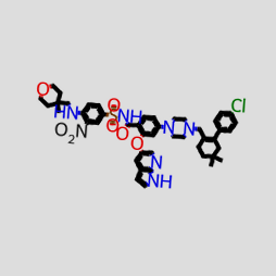 CC1(C)CCC(CN2CCN(c3ccc(C(=O)NS(=O)(=O)c4ccc(NCC5(C)CCOCC5)c([N+](=O)[O-])c4)c(Oc4cnc5[nH]ccc5c4)c3)CC2)=C(c2ccc(Cl)cc2)C1